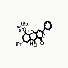 CC(C)[C@@H]1CC(O[Si](C)(C)C(C)(C)C)[C@@]2(C)Oc3cc(-c4ccccc4)oc(=O)c3C(=O)[C@@H]2C1